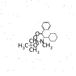 CN(C(=O)OC(C)(C)C)[C@H](C(=O)c1ccccc1)C1CCCCC1